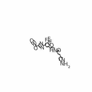 Nc1ccc(/C=C/C(=O)NCc2cc3cc(-c4ncc(C(=O)N5CCOCC5)cn4)cc(C(F)(F)F)c3o2)cn1